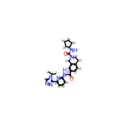 CC(C)n1cnnc1-c1cccc(NC(=O)c2ccc3c(c2)CN(C(=O)NC2CCCC2)CC3)n1